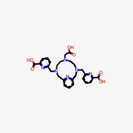 O=C(O)CN1CCN(Cc2cccc(C(=O)O)n2)Cc2cccc(n2)CN(Cc2cccc(C(=O)O)n2)CC1